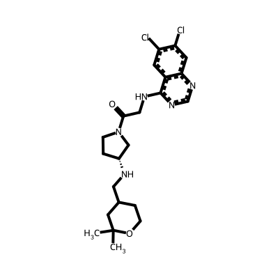 CC1(C)CC(CN[C@@H]2CCN(C(=O)CNc3ncnc4cc(Cl)c(Cl)cc34)C2)CCO1